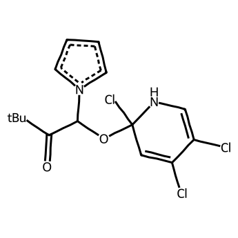 CC(C)(C)C(=O)C(OC1(Cl)C=C(Cl)C(Cl)=CN1)n1cccc1